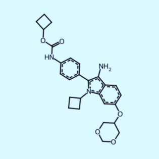 Nc1c(-c2ccc(NC(=O)OC3CCC3)cc2)n(C2CCC2)c2cc(OC3COCOC3)ccc12